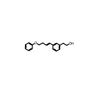 OCCc1cccc(/C=C/CCOc2ccccc2)c1